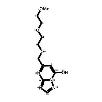 COCCOCCOCc1cc(O)n2ncnc2n1